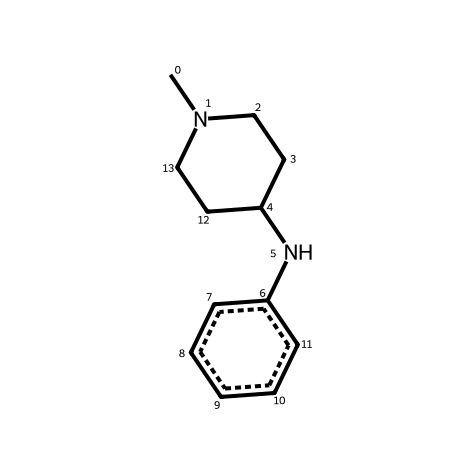 CN1CCC(Nc2ccccc2)CC1